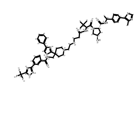 Cc1ncsc1-c1ccc(C(C)NC(=O)[C@@H]2C[C@@H](O)CN2C(=O)C(NC(=O)CCOCCN2CCC(CNC(=O)c3cccc(-c4noc(C(F)(F)F)n4)c3)(c3nc(-c4ccccc4)cs3)CC2)C(C)(C)C)cc1